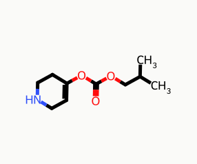 CC(C)COC(=O)OC1=CCNCC1